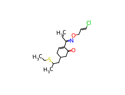 CCSC(C)CC1CC=C(/C(CC)=N/OC/C=C/Cl)C(=O)C1